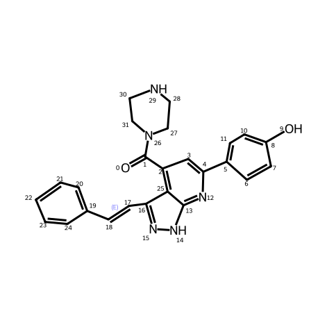 O=C(c1cc(-c2ccc(O)cc2)nc2[nH]nc(/C=C/c3ccccc3)c12)N1CCNCC1